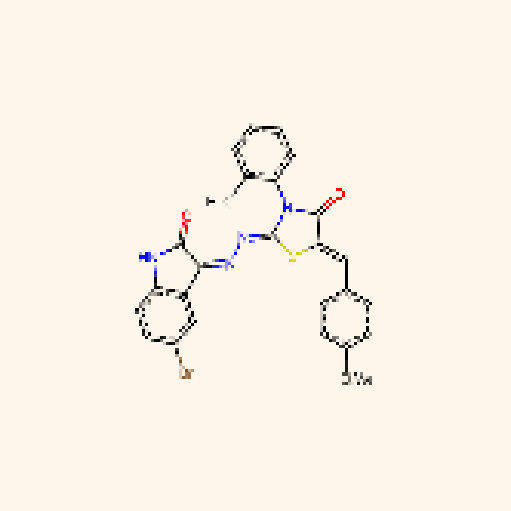 COc1ccc(C=C2SC(=NN=C3C(=O)Nc4ccc(Br)cc43)N(c3ccccc3C)C2=O)cc1